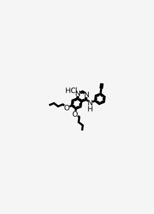 C#Cc1cccc(Nc2ncnc3cc(OCCCC)c(OCCCC)cc23)c1.Cl